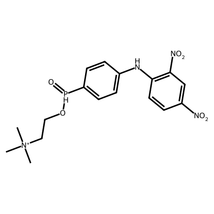 C[N+](C)(C)CCO[PH](=O)c1ccc(Nc2ccc([N+](=O)[O-])cc2[N+](=O)[O-])cc1